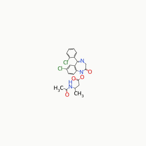 CC(=O)NC(C)CC(=O)ON1C(=O)CN=C(c2ccccc2Cl)c2cc(Cl)ccc21